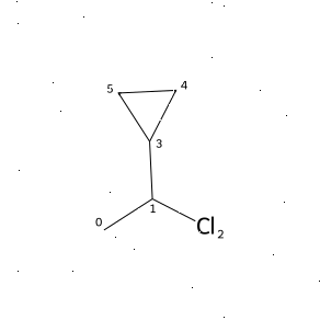 CC(Cl)C1CC1